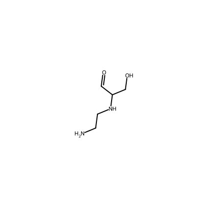 NCCNC(C=O)CO